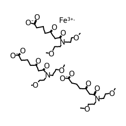 COCCN(CCOC)C(=O)CC(=O)CCCC(=O)[O-].COCCN(CCOC)C(=O)CC(=O)CCCC(=O)[O-].COCCN(CCOC)C(=O)CC(=O)CCCC(=O)[O-].[Fe+3]